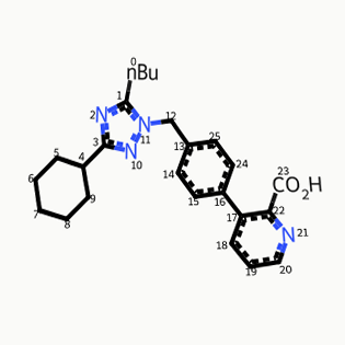 CCCCc1nc(C2CCCCC2)nn1Cc1ccc(-c2cccnc2C(=O)O)cc1